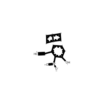 C#Cc1cccc(O)c1[N+](=O)[O-].c1cc2ccc1-2